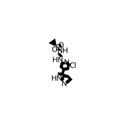 O=S(=O)(NCCNc1cc(-c2c[nH]c3ncccc23)cc(Cl)n1)C1CC1